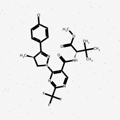 COC(=O)[C@@H](NC(=O)c1cnc(C(F)(F)F)nc1N1C[C@@H](C)C(c2ccc(Cl)cc2)=N1)C(C)(C)C